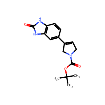 CC(C)(C)OC(=O)N1CC=C(c2ccc3[nH]c(=O)[nH]c3c2)C1